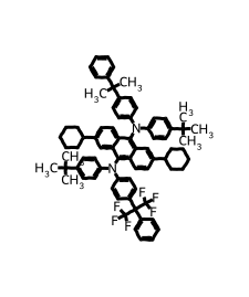 CC(C)(C)c1ccc(N(c2ccc(C(C)(C)c3ccccc3)cc2)c2c3ccc(C4CCCCC4)cc3c(N(c3ccc(C(C)(C)C)cc3)c3ccc(C(c4ccccc4)(C(F)(F)F)C(F)(F)F)cc3)c3ccc(C4CCCCC4)cc23)cc1